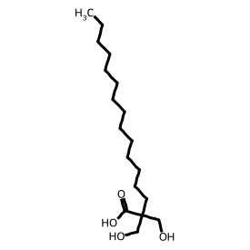 CCCCCCCCCCCCCCC(CO)(CO)C(=O)O